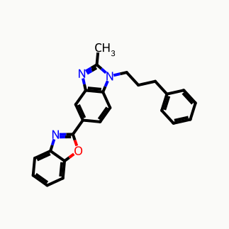 Cc1nc2cc(-c3nc4ccccc4o3)ccc2n1CCCc1ccccc1